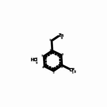 Cl.FC(F)(F)c1cccc([CH2][Zn])c1